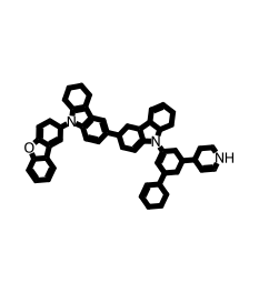 C1=CC2OC3=CCC(n4c5c(c6cc(C7CC=C8C(C7)C7C=CCCC7N8C7=CC(C8C=CCCC8)CC(C8C=CNCC8)C7)ccc64)CCCC5)C=C3C2C=C1